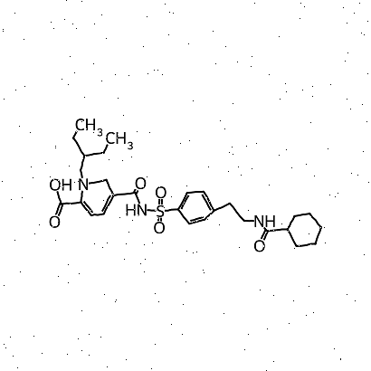 CCC(CC)CN1CC(C(=O)NS(=O)(=O)c2ccc(CCNC(=O)C3CCCCC3)cc2)=CC=C1C(=O)O